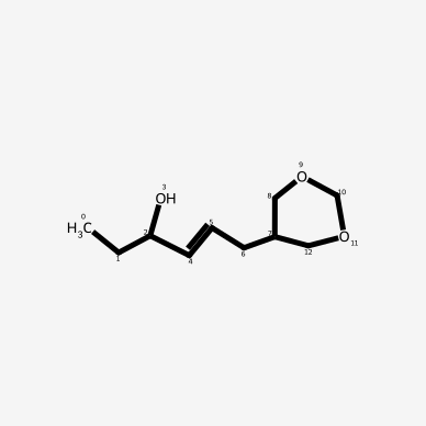 CCC(O)C=CCC1COCOC1